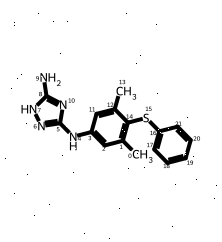 Cc1cc(Nc2n[nH]c(N)n2)cc(C)c1Sc1ccccc1